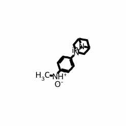 CC(C)N1C2CC1CN(c1ccc([NH+](C)[O-])cc1)C2